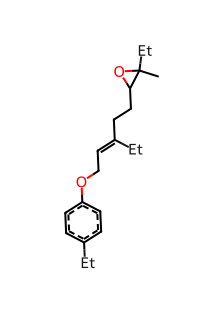 CC/C(=C\COc1ccc(CC)cc1)CCC1OC1(C)CC